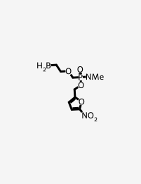 BCCOCP(=O)(NC)OCc1ccc([N+](=O)[O-])o1